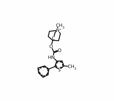 Cc1cc(NC(=O)OC23CC[N+](C)(CC2)CC3)c(-c2ccccc2)s1